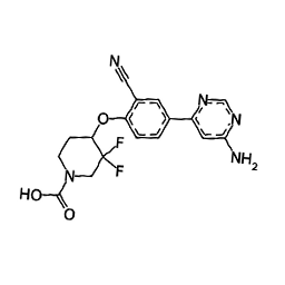 N#Cc1cc(-c2cc(N)ncn2)ccc1OC1CCN(C(=O)O)CC1(F)F